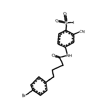 N#Cc1cc(NC(=O)CCCc2ccc(Br)cc2)ccc1S(=O)(=O)I